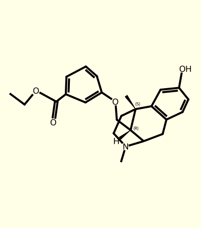 CCOC(=O)c1cccc(OC[C@H]2C3Cc4ccc(O)cc4[C@@]2(C)CCN3C)c1